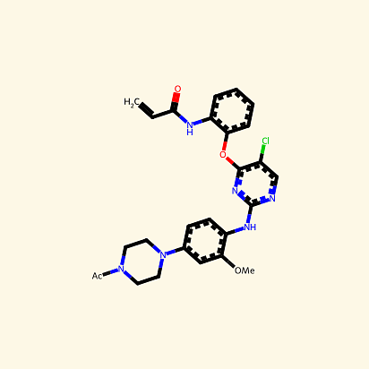 C=CC(=O)Nc1ccccc1Oc1nc(Nc2ccc(N3CCN(C(C)=O)CC3)cc2OC)ncc1Cl